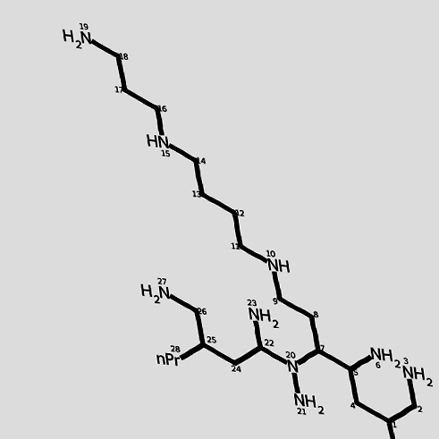 CCCC(CN)CC(N)C(CCNCCCCNCCCN)N(N)C(N)CC(CN)CCC